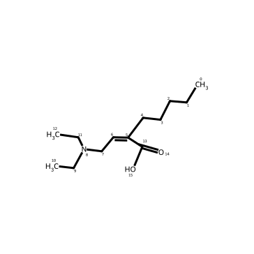 CCCCCC(=CCN(CC)CC)C(=O)O